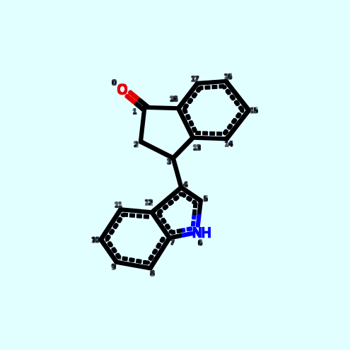 O=C1CC(c2c[nH]c3ccccc23)c2ccccc21